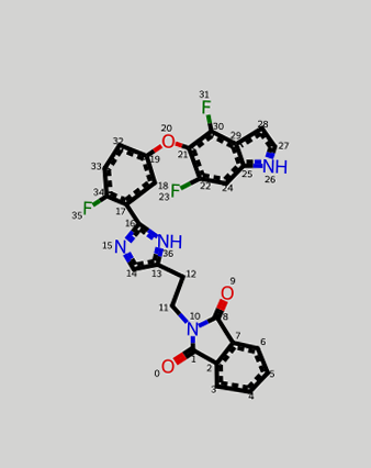 O=C1c2ccccc2C(=O)N1CCc1cnc(-c2cc(Oc3c(F)cc4[nH]ccc4c3F)ccc2F)[nH]1